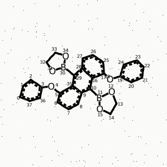 c1ccc(Oc2cccc3c(B4OCCO4)c4c(Oc5ccccc5)cccc4c(B4OCCO4)c23)cc1